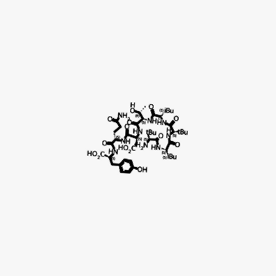 CC[C@H](C)[C@H](NC(=O)[C@@H](N)C(C)(C)C)C(=O)N[C@H](C(=O)N[C@H](C(=O)N[C@H](C(=O)N[C@@H](CC(=O)O)C(=O)N[C@@H](CCC(N)=O)C(=O)N[C@@H](Cc1ccc(O)cc1)C(=O)O)[C@@H](C)O)[C@@H](C)CC)C(C)(C)C